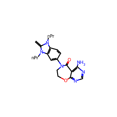 C=C1N(CCC)c2ccc(N3CCOc4ncnc(N)c4C3=O)cc2N1CCC